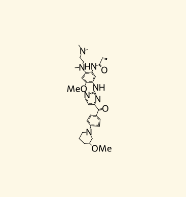 C=CC(=O)Nc1cc(Nc2nccc(C(=O)c3ccc(N4CCCC(OC)C4)cc3)n2)c(OC)cc1N(C)CCN(C)C